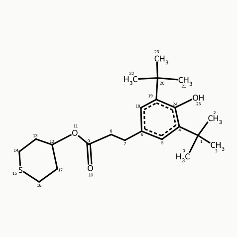 CC(C)(C)c1cc(CCC(=O)OC2CCSCC2)cc(C(C)(C)C)c1O